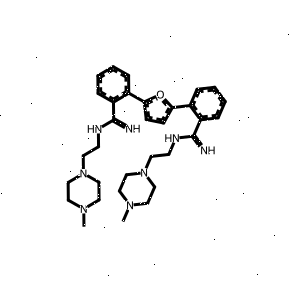 CN1CCN(CCNC(=N)c2ccccc2-c2ccc(-c3ccccc3C(=N)NCCN3CCN(C)CC3)o2)CC1